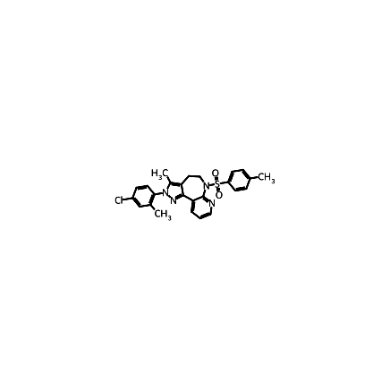 Cc1ccc(S(=O)(=O)N2CCc3c(nn(-c4ccc(Cl)cc4C)c3C)-c3cccnc32)cc1